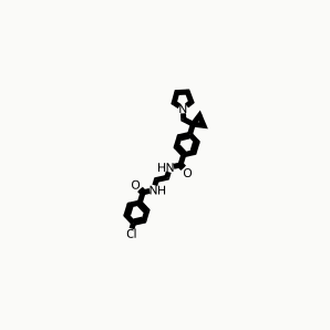 O=C(NCCNC(=O)c1ccc(C2(CN3CCCC3)CC2)cc1)c1ccc(Cl)cc1